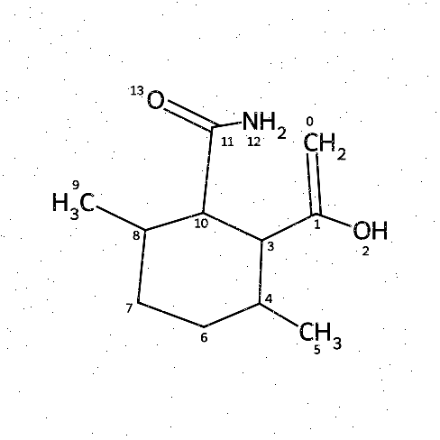 C=C(O)C1C(C)CCC(C)C1C(N)=O